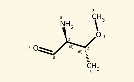 CO[C@H](C)[C@H](N)C=O